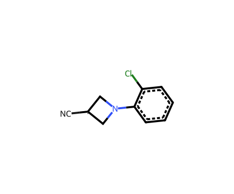 N#C[C]1CN(c2ccccc2Cl)C1